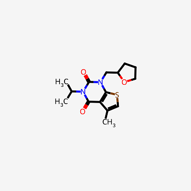 Cc1csc2c1c(=O)n(C(C)C)c(=O)n2CC1CCCO1